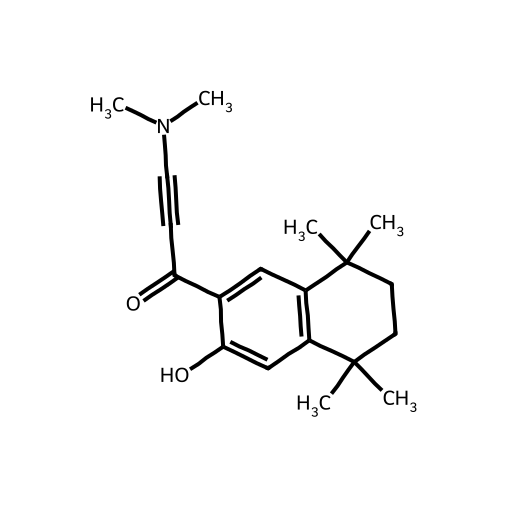 CN(C)C#CC(=O)c1cc2c(cc1O)C(C)(C)CCC2(C)C